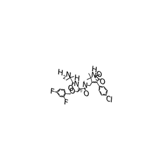 CN(CC1=C(c2ccc(Cl)cc2)S(=O)(=O)NC1(C)C)C(=O)[C@@H](COCc1ccc(F)cc1F)NC(=O)C(C)(C)N